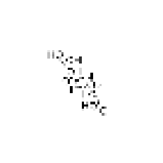 O=C(OCC(O)CO)c1c(I)c(I)c(C(=O)OCC(O)CO)c(I)c1I